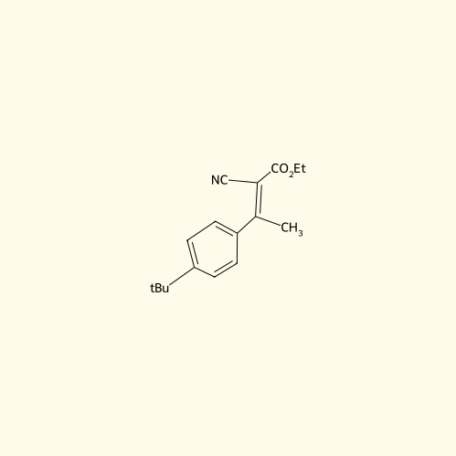 CCOC(=O)C(C#N)=C(C)c1ccc(C(C)(C)C)cc1